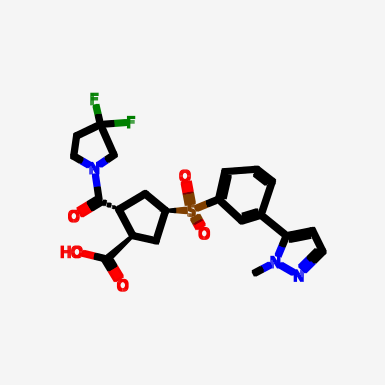 Cn1nccc1-c1cccc(S(=O)(=O)[C@H]2C[C@@H](C(=O)O)[C@H](C(=O)N3CCC(F)(F)C3)C2)c1